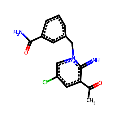 CC(=O)c1cc(Cl)cn(Cc2cccc(C(N)=O)c2)c1=N